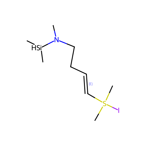 CN(CC/C=C/S(C)(C)I)[SiH](C)C